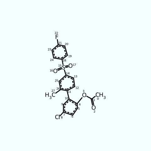 CC(=O)Oc1ccc(Cl)cc1-c1ccc(S(=O)(=O)c2ccc(F)cc2)cc1C